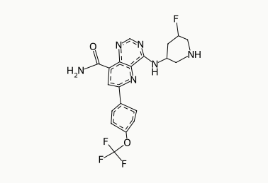 NC(=O)c1cc(-c2ccc(OC(F)(F)F)cc2)nc2c(NC3CNCC(F)C3)ncnc12